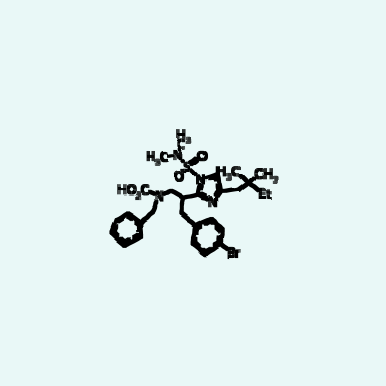 CCC(C)(C)Cc1cn(S(=O)(=O)N(C)C)c(C(Cc2ccc(Br)cc2)CN(Cc2ccccc2)C(=O)O)n1